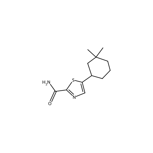 CC1(C)CCCC(c2cnc(C(N)=O)s2)C1